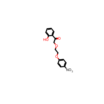 O=C(COCCOc1ccc([N+](=O)[O-])cc1)c1ccccc1O